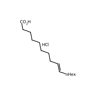 CCCCCCC=CCCCCCCCC(=O)O.Cl